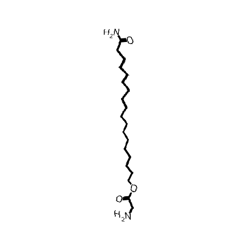 NCC(=O)OCCCCCCCCCCCCCCCCCC(N)=O